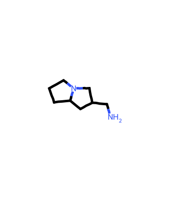 NCC1CC2CCCN2C1